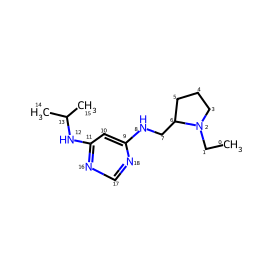 CCN1CCCC1CNc1cc(NC(C)C)ncn1